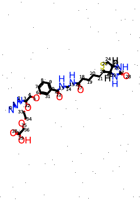 [N-]=[N+]=NC(COc1cccc(C(=O)NCNC(=O)CCCC[C@H]2SC[C@H]3NC(=O)N[C@H]32)c1)OCCOCC(=O)O